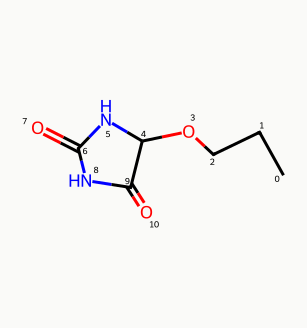 CCCOC1NC(=O)NC1=O